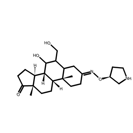 C[C@]12CCC(=NO[C@H]3CCNC3)CC1C(CO)C(O)[C@@H]1[C@H]2CC[C@]2(C)C(=O)CC[C@@H]12